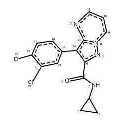 O=C(NC1CC1)c1nn2cccnc2c1-c1ccc(Cl)c(Cl)c1